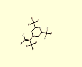 FC(F)=C(N1CC(C(F)(F)F)OC(C(F)(F)F)C1)C(F)(F)F